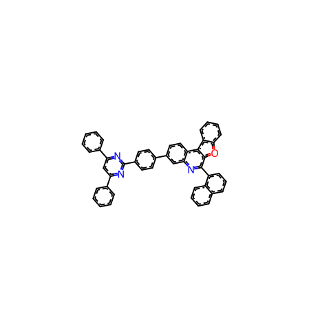 c1ccc(-c2cc(-c3ccccc3)nc(-c3ccc(-c4ccc5c(c4)nc(-c4cccc6ccccc46)c4oc6ccccc6c45)cc3)n2)cc1